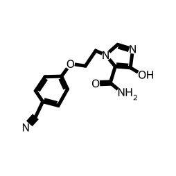 N#Cc1ccc(OCCn2cnc(O)c2C(N)=O)cc1